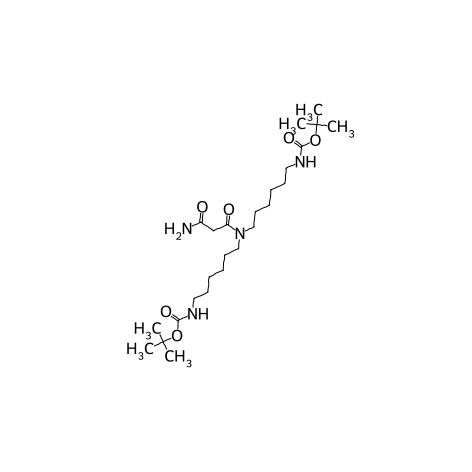 CC(C)(C)OC(=O)NCCCCCCN(CCCCCCNC(=O)OC(C)(C)C)C(=O)CC(N)=O